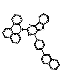 c1ccc2c(c1)-c1cccc3cccc(c13)N2c1nc(-c2ccc(-c3ccc4ccccc4c3)cc2)c2oc3ccccc3c2n1